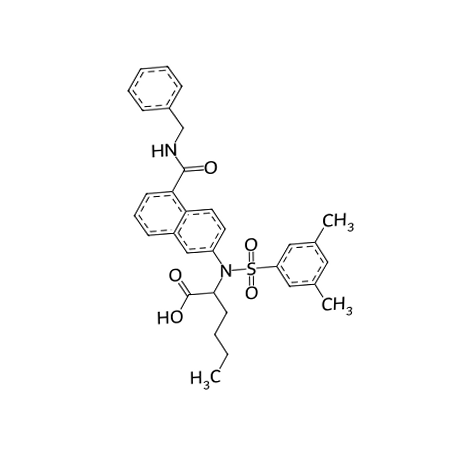 CCCCC(C(=O)O)N(c1ccc2c(C(=O)NCc3ccccc3)cccc2c1)S(=O)(=O)c1cc(C)cc(C)c1